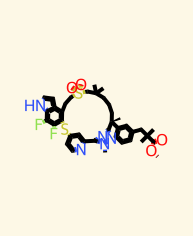 COC(=O)C(C)(C)Cc1cccc([C@@]2(C)CCCC(C)(C)CS(=O)(=O)CCc3c(c(F)c(F)c4[nH]ccc34)Sc3ccnc(c3)-c3nc2nn3C)c1